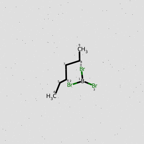 BrB(Br)Br.CCCCCC